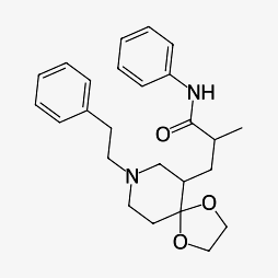 CC(CC1CN(CCc2ccccc2)CCC12OCCO2)C(=O)Nc1ccccc1